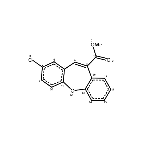 COC(=O)C1=Cc2cc(Cl)ccc2Oc2ccccc21